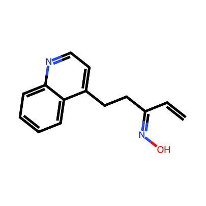 C=CC(CCc1ccnc2ccccc12)=NO